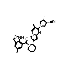 Cc1cc(C(=O)N2CCCC[C@H]2c2cc3nc(N4C[C@@H](C#N)[C@@H](C)C4)c(C)cn3n2)c2[nH]ncc2c1